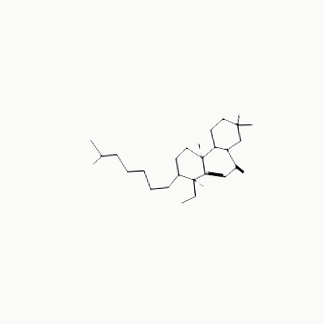 CC(C)CCC[C@@H](C)[C@H]1CC[C@H]2C3=CC(=O)C4CC(O)(O)CC[C@]4(C)[C@H]3CC[C@]12C